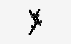 CCCCCOC(=O)OCCN[C@@H](Cc1ccc(OC(=O)OCCC)c(OC(=O)OCCC)c1)C(=O)OC